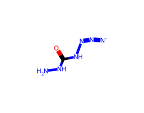 [N-]=[N+]=NNC(=O)NN